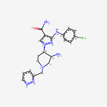 NC(=O)c1cn([C@@H]2CCN(Cc3cccnn3)CC2N)nc1Nc1ccc(F)cc1